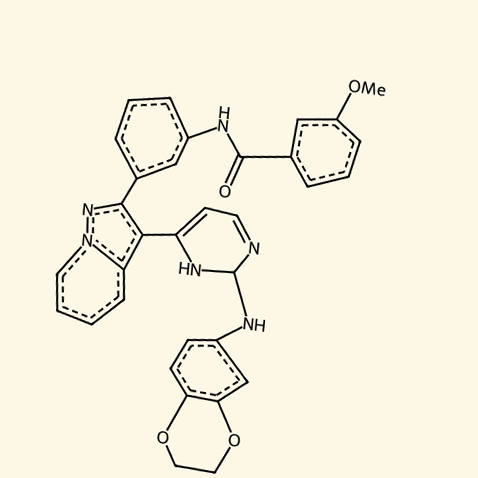 COc1cccc(C(=O)Nc2cccc(-c3nn4ccccc4c3C3=CC=NC(Nc4ccc5c(c4)OCCO5)N3)c2)c1